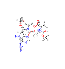 CC(C)[C@H](NC(=O)OC(C)(C)C)C(=O)OCC1C2OC(C)(C)OC2C(c2c[nH]c3c(N=[N+]=[N-])ncnc23)N1C(=O)OC(C)(C)C